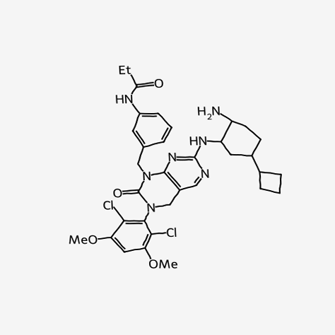 CCC(=O)Nc1cccc(CN2C(=O)N(c3c(Cl)c(OC)cc(OC)c3Cl)Cc3cnc(NC4CC(C5CCC5)CCC4N)nc32)c1